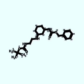 CC(C)(C)OC(=O)NCCNC1CCCC(NC(=O)OCc2ccccc2)C1